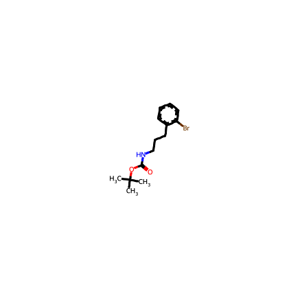 CC(C)(C)OC(=O)NCCCc1ccccc1Br